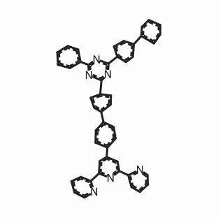 c1ccc(-c2ccc(-c3nc(-c4ccccc4)nc(-c4ccc(-c5ccc(-c6cc(-c7ccccn7)nc(-c7ccccn7)c6)cc5)cc4)n3)cc2)cc1